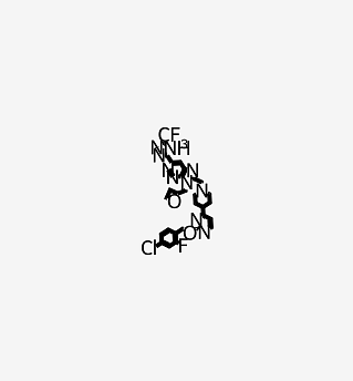 Fc1cc(Cl)ccc1COc1nccc(C2CCN(Cc3nc4cc(-c5nnc(C(F)(F)F)[nH]5)nnc4n3CC3CCO3)CC2)n1